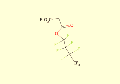 CCOC(=O)CC(=O)OC(F)(F)C(F)(F)C(F)(F)C(F)(F)F